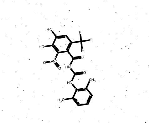 Cc1cccc(C)c1NC(=O)NC(=O)c1c(C(F)(F)F)cc(O)c(O)c1[N+](=O)[O-]